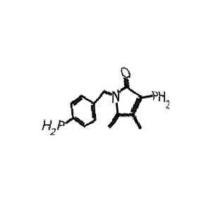 C=C1C(C)=C(P)C(=O)N1Cc1ccc(P)cc1